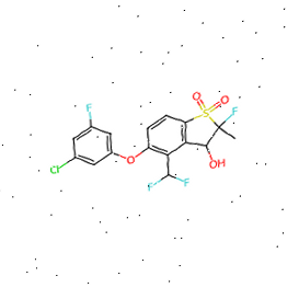 CC1(F)C(O)c2c(ccc(Oc3cc(F)cc(Cl)c3)c2C(F)F)S1(=O)=O